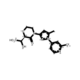 Cc1cc(N2CCO[C@H](C(O)C(=O)O)C2=O)nn1-c1ccnc(C(F)(F)F)c1